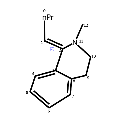 CCC/C=C1/c2ccccc2CCN1C